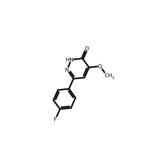 COc1cc(-c2ccc(F)cc2)n[nH]c1=O